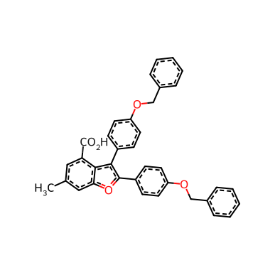 Cc1cc(C(=O)O)c2c(-c3ccc(OCc4ccccc4)cc3)c(-c3ccc(OCc4ccccc4)cc3)oc2c1